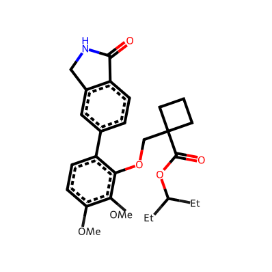 CCC(CC)OC(=O)C1(COc2c(-c3ccc4c(c3)CNC4=O)ccc(OC)c2OC)CCC1